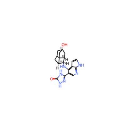 O=c1[nH]nc(-c2cnc3[nH]ccc3c2N[C@H]2[C@@H]3CC4C[C@H]2C[C@@](O)(C4)C3)[nH]1